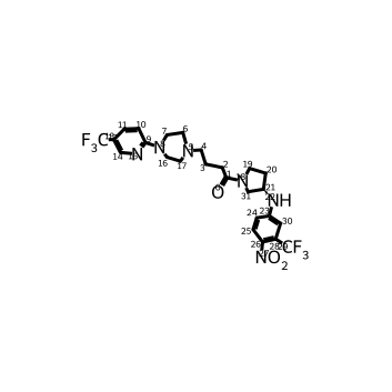 O=C(CCCN1CCN(c2ccc(C(F)(F)F)cn2)CC1)N1CC[C@H](Nc2ccc([N+](=O)[O-])c(C(F)(F)F)c2)C1